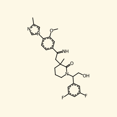 COc1cc(C(=N)CC2(C)CCCN(C(CO)c3cc(F)cc(F)c3)C2=O)ccc1-n1cnc(C)c1